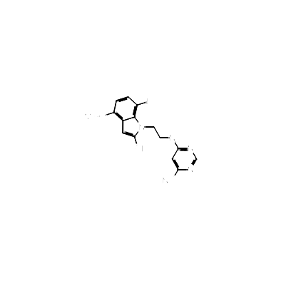 COc1ccc(F)c2c1cc(C)n2CCNc1cc(C#N)ncn1